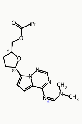 CC(C)C(=O)OC[C@@H]1CC[C@H](c2ccc3c(/N=C\N(C)C)ncnn23)O1